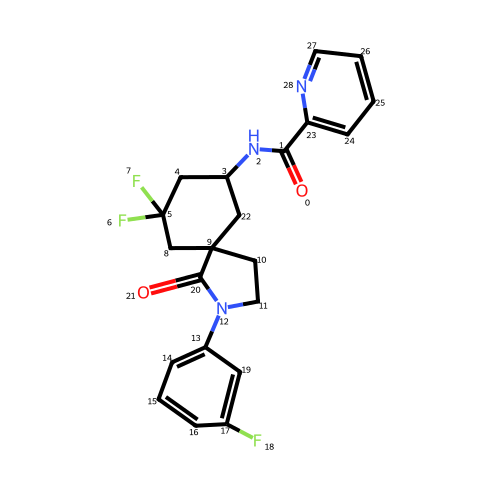 O=C(NC1CC(F)(F)CC2(CCN(c3cccc(F)c3)C2=O)C1)c1ccccn1